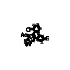 CC(=O)Sc1ncnn1CC1(c2ccc(F)cc2)OC1c1ccccc1Cl